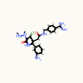 CNN(C)c1c(Cl)c(CC(=O)NCc2ccc(C(=N)N)cc2)c(-c2cccc(N)c2)[nH]c1=O